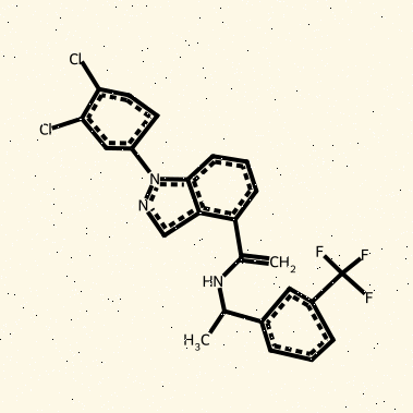 C=C(NC(C)c1cccc(C(F)(F)F)c1)c1cccc2c1cnn2-c1ccc(Cl)c(Cl)c1